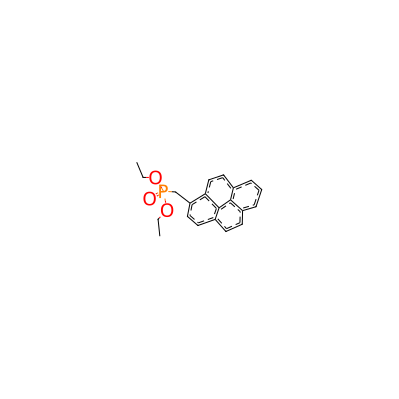 CCOP(=O)(Cc1ccc2ccc3cccc4ccc1c2c34)OCC